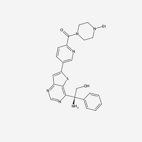 CCN1CCN(C(=O)c2ccc(-c3cc4ncnc([C@](N)(CO)c5ccccc5)c4s3)cn2)CC1